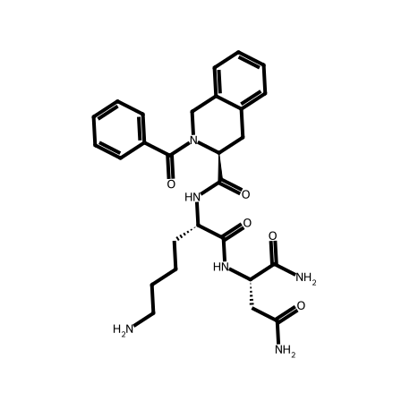 NCCCC[C@H](NC(=O)[C@@H]1Cc2ccccc2CN1C(=O)c1ccccc1)C(=O)N[C@@H](CC(N)=O)C(N)=O